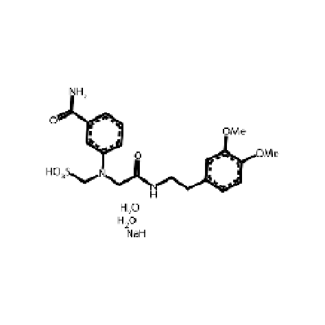 COc1ccc(CCNC(=O)CN(CS(=O)(=O)O)c2cccc(C(N)=O)c2)cc1OC.O.O.[NaH]